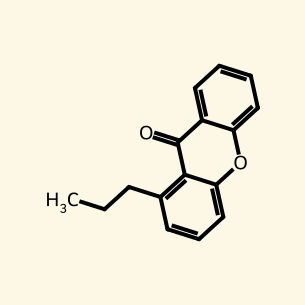 CCCc1cccc2oc3ccccc3c(=O)c12